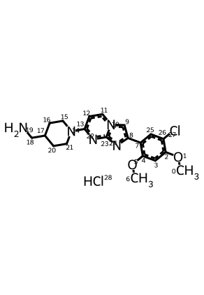 COc1cc(OC)c(-c2cn3ccc(N4CCC(CN)CC4)nc3n2)cc1Cl.Cl